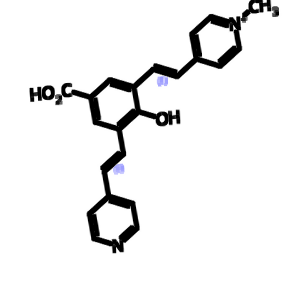 C[n+]1ccc(/C=C/c2cc(C(=O)O)cc(/C=C/c3ccncc3)c2O)cc1